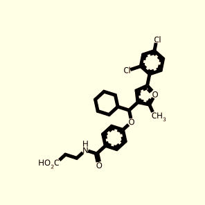 Cc1oc(-c2ccc(Cl)cc2Cl)cc1C(Oc1ccc(C(=O)NCCC(=O)O)cc1)C1CCCCC1